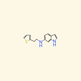 c1csc(CCNc2ccc3cc[nH]c3c2)c1